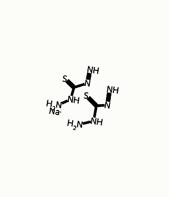 N=NC(=S)NN.N=NC(=S)NN.[Na]